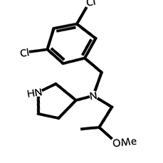 COC(C)CN(Cc1cc(Cl)cc(Cl)c1)C1CCNC1